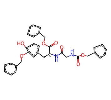 O=C(CNC(=O)OCc1ccccc1)N[C@@H](Cc1ccc(O)c(OCc2ccccc2)c1)C(=O)OCc1ccccc1